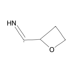 N=[C]C1CCO1